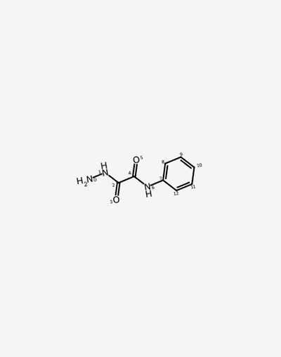 NNC(=O)C(=O)Nc1ccccc1